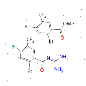 CCc1cc(Br)c(C(F)(F)F)cc1C(=O)N=C(N)N.CCc1cc(Br)c(C(F)(F)F)cc1C(=O)OC